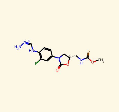 COC(=S)NC[C@H]1CN(c2ccc(N/C=N\N)c(F)c2)C(=O)O1